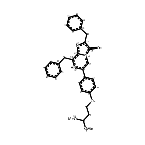 COC(CCOc1ccc(-c2cn3c(=O)c(Cc4ccccc4)nc-3c(Cc3ccccc3)[nH]2)cc1)OC